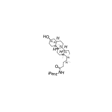 [CH2]CCC([CH2])NC(=O)CC[C@@H](C)[C@H]1CC[C@H]2[C@@H]3CC[C@@H]4C[C@H](O)CC[C@]4(C)[C@H]3CC[C@]12C